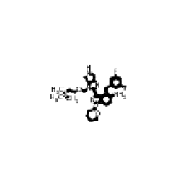 C[Si](C)(C)CCOCn1c(-c2nn(C3CCCCO3)c3ccc(N)c(Cc4cc(F)cc(F)c4)c23)nc2c1CNC2